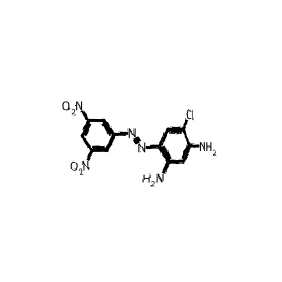 Nc1cc(N)c(N=Nc2cc([N+](=O)[O-])cc([N+](=O)[O-])c2)cc1Cl